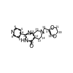 O=c1[nH]c(-c2ccncc2)nc2c1CCN(CC1=COCCO1)C2